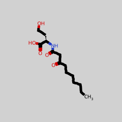 CCCCCCCC(=O)CC(=O)N[C@@H](CCO)C(=O)O